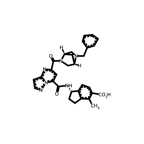 Cc1c(C(=O)O)ccc2c1CC[C@@H]2NC(=O)c1cc(C(=O)N2C[C@@H]3C[C@H]2CN3Cc2ccccc2)nc2ccnn12